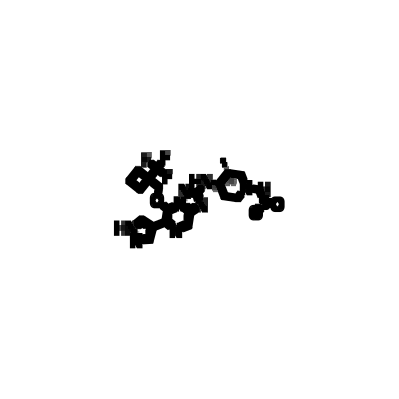 C[C@@H]1CN(C[SH](=O)=O)CC[C@@H]1Nc1nc2cnc(-c3cn[nH]c3)c(OCC3(C(F)(F)F)CCC3)n2n1